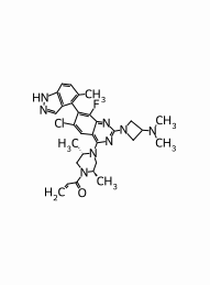 C=CC(=O)N1C[C@H](C)N(c2nc(N3CC(N(C)C)C3)nc3c(F)c(-c4c(C)ccc5[nH]ncc45)c(Cl)cc23)C[C@H]1C